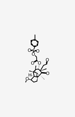 CO[C@@H]1CC[C@@]23CC[C@@H](C)[C@@](C)(C[C@H](OC(=O)COS(=O)(=O)c4ccc(C)cc4)[C@](C)(CC=O)C(=O)[C@@H]2C)[C@H]13